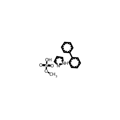 COS(=O)(=O)O.c1ccc(-c2ccccc2)cc1.c1cn[nH]c1